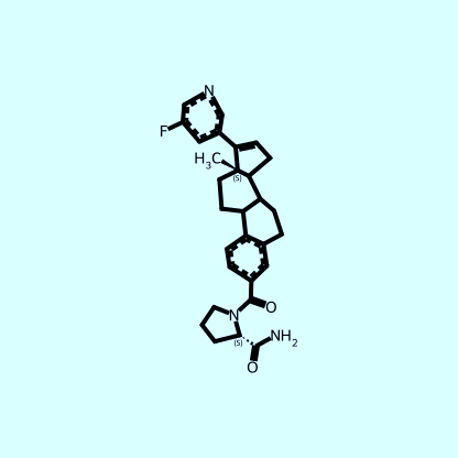 C[C@]12CCC3c4ccc(C(=O)N5CCC[C@H]5C(N)=O)cc4CCC3C1CC=C2c1cncc(F)c1